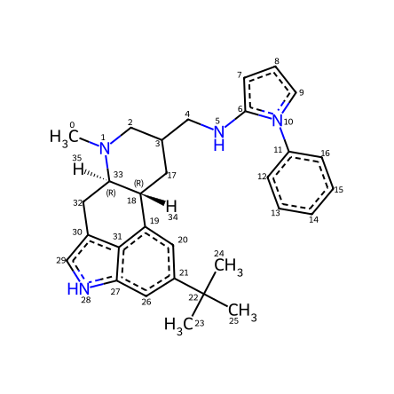 CN1CC(CNc2cccn2-c2ccccc2)C[C@@H]2c3cc(C(C)(C)C)cc4[nH]cc(c34)C[C@H]21